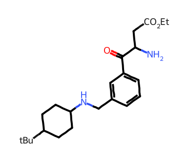 CCOC(=O)CC(N)C(=O)c1cccc(CNC2CCC(C(C)(C)C)CC2)c1